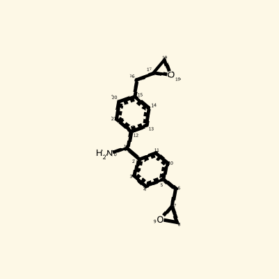 NC(c1ccc(CC2CO2)cc1)c1ccc(CC2CO2)cc1